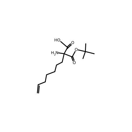 C=CCCCCCC(N)(C(=O)O)C(=O)OC(C)(C)C